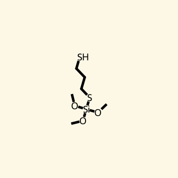 CO[Si](OC)(OC)SCCCS